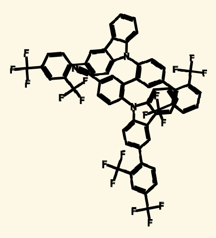 N#Cc1ccc(-n2c3ccccc3c3cc(-c4ccc(C(F)(F)F)cc4C(F)(F)F)ccc32)c(-c2cc(-c3c(C(F)(F)F)cccc3C(F)(F)F)ccc2-n2c3ccccc3c3cc(-c4ccc(C(F)(F)F)cc4C(F)(F)F)ccc32)c1